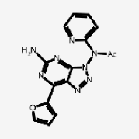 CC(=O)N(c1ccccn1)n1nnc2c(-c3ccco3)nc(N)nc21